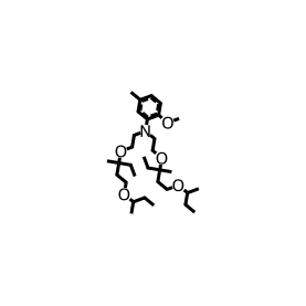 CCC(C)OCCC(C)(CC)OCCN(CCOC(C)(CC)CCOC(C)CC)c1cc(C)ccc1OC